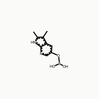 Cc1[nH]c2ncc(OB(O)O)cc2c1C